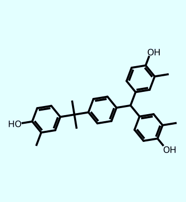 Cc1cc(C(c2ccc(C(C)(C)c3ccc(O)c(C)c3)cc2)c2ccc(O)c(C)c2)ccc1O